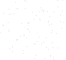 CC(C)Oc1c(Cl)cc(-c2nn(C3CCCCO3)cc2CN(C)CCN(C)C(=O)O)cc1Cl